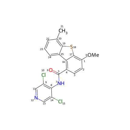 COc1ccc(C(=O)Nc2c(Cl)cncc2Cl)c2c1sc1c(C)cccc12